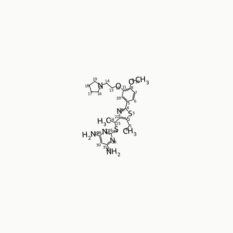 CCc1sc(-c2ccc(OC)c(OCCN3CCCC3)c2)nc1C(C)Sc1nc(N)cc(N)n1